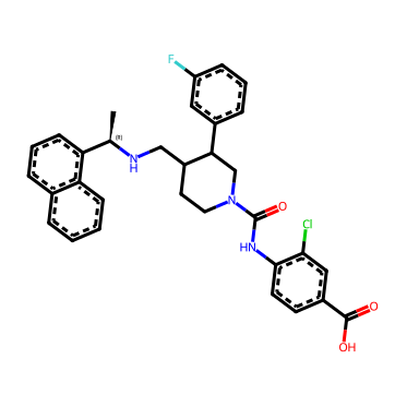 C[C@@H](NCC1CCN(C(=O)Nc2ccc(C(=O)O)cc2Cl)CC1c1cccc(F)c1)c1cccc2ccccc12